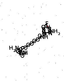 CN[C@@H](C)C(=O)N[C@H](C(=O)N1Cc2cc(OCCOCCOCCOCCOCCC(=O)NCCn3cc4c(n3)CN(C)C(=O)c3ccc(F)cc3[C@H]3CCCN3c3cc-4cnc3N)ccc2C[C@H]1C(N)=O)C(C)(C)C